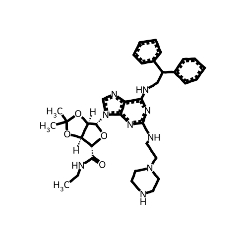 CCNC(=O)[C@H]1O[C@@H](n2cnc3c(NCC(c4ccccc4)c4ccccc4)nc(NCCN4CCNCC4)nc32)[C@@H]2OC(C)(C)O[C@@H]21